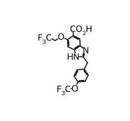 O=C(O)c1cc2nc(Cc3ccc(OC(F)(F)F)cc3)[nH]c2cc1OCC(F)(F)F